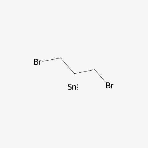 BrCCCBr.[Sn]